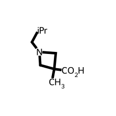 CC(C)CN1CC(C)(C(=O)O)C1